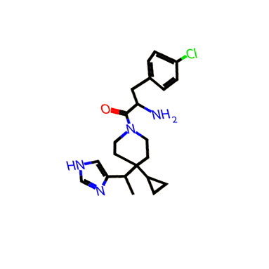 CC(c1c[nH]cn1)C1(C2CC2)CCN(C(=O)C(N)Cc2ccc(Cl)cc2)CC1